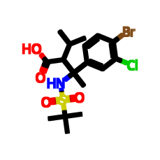 CC(C)C(C(=O)O)C(C)(NS(=O)(=O)C(C)(C)C)c1ccc(Br)c(Cl)c1